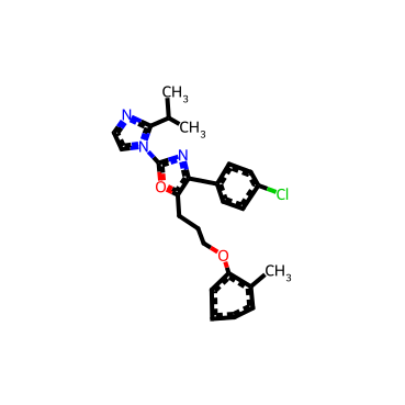 Cc1ccccc1OCCCc1oc(-n2ccnc2C(C)C)nc1-c1ccc(Cl)cc1